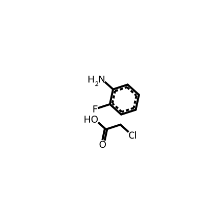 Nc1ccccc1F.O=C(O)CCl